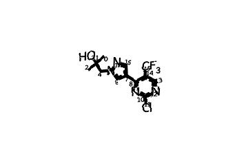 CC(C)(O)Cn1cc(-c2nc(Cl)ncc2C(F)(F)F)cn1